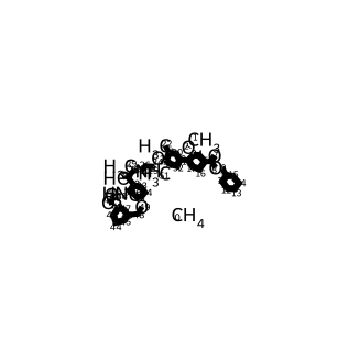 C.COc1cc(C(=O)OCc2ccccc2)ccc1-c1cc(C)c(OCCN[C@@H](C)[C@H](O)c2ccc3cc2NS(=O)(=O)c2cccc(c2)CO3)c(C)c1